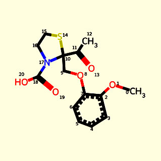 COc1ccccc1OCC1(C(C)=O)SCCN1C(=O)O